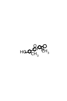 Cc1cc(CO)ccc1-c1ccn(-c2ccc3c4c(n(C)c3c2)CCCC4)c(=O)c1